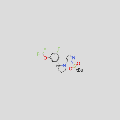 CC(C)(C)S(=O)(=O)n1nccc1N1CCC[C@@H]1c1cc(F)cc(OC(F)F)c1